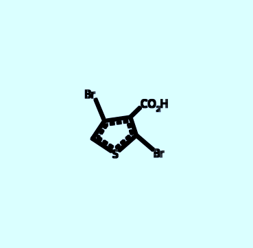 O=C(O)c1c(Br)csc1Br